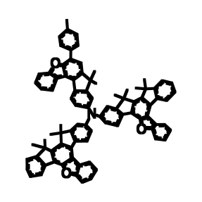 Cc1ccc(-c2cc3c(c4c2oc2ccccc24)-c2ccc(N(c4ccc5c(c4)C(C)(C)c4c6c(c7c(oc8ccccc87)c4-5)-c4ccccc4C6(C)C)c4ccc5c(c4)C(C)(C)c4c6c(c7oc8ccccc8c7c4-5)-c4ccccc4C6(C)C)cc2C3(C)C)cc1